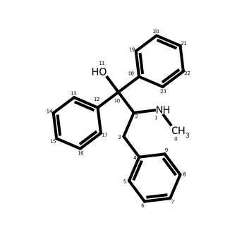 CNC(Cc1ccccc1)C(O)(c1ccccc1)c1ccccc1